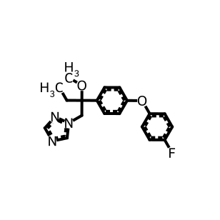 CCC(Cn1cncn1)(OC)c1ccc(Oc2ccc(F)cc2)cc1